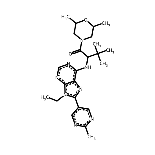 CCn1c(-c2cnc(C)nc2)nc2c(NC(C(=O)N3CC(C)OC(C)C3)C(C)(C)C)ncnc21